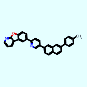 Cc1ccc(-c2ccc3ccc(-c4ccc(-c5ccc6oc7ncccc7c6c5)nc4)cc3c2)cc1